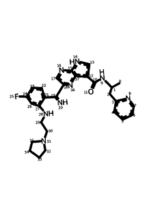 CC(Cc1ccccn1)NC(=O)c1c[nH]c2ncc(C(=N)c3ccc(F)cc3NCCN3CCCC3)nc12